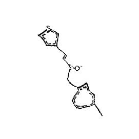 Cc1ccc(C[S+]([O-])C=Cc2ccsc2)cc1